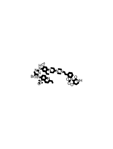 CCc1ccc2c(P(C)(C)=O)c(Nc3nc(Nc4cc(CC)c(N5CCC(N6CCN(CCc7cccc8c7oc(=O)n8C7C(=O)CCNC7=O)CC6)CC5)cc4OC)ncc3Br)ccc2n1